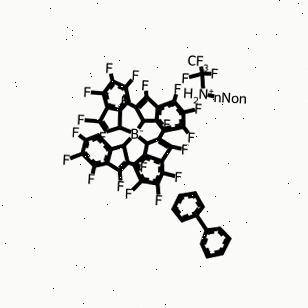 CCCCCCCCC[NH2+]C(F)(F)C(F)(F)F.FC1=C(F)C([B-](C2C(F)=C(F)c3c2cc(F)c(F)c3F)(C2C(F)=C(F)c3c2cc(F)c(F)c3F)C2C(F)=C(F)c3c2cc(F)c(F)c3F)c2cc(F)c(F)c(F)c21.c1ccc(-c2ccccc2)cc1